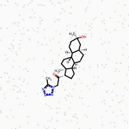 Cc1nnnn1CC(=O)[C@H]1CC[C@H]2[C@@H]3CC[C@@H]4C[C@](C)(O)CC[C@@H]4[C@H]3CC[C@]12C